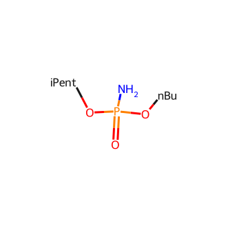 CCCCOP(N)(=O)OC(C)CCC